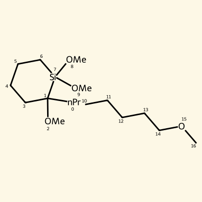 CCCC1(OC)CCCC[Si]1(OC)OC.CCCCCOC